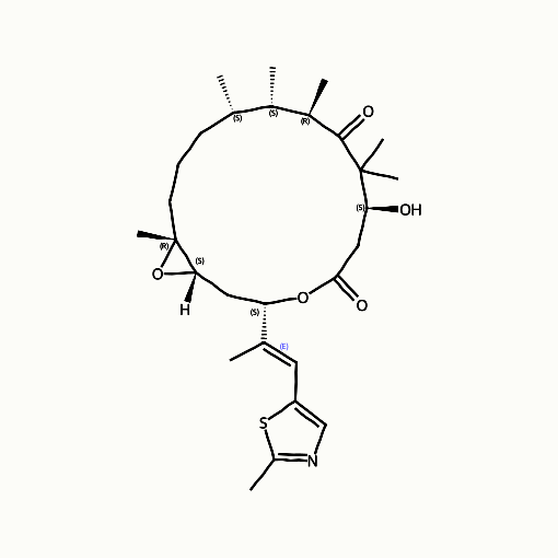 C/C(=C\c1cnc(C)s1)[C@@H]1C[C@@H]2O[C@]2(C)CCC[C@H](C)[C@H](C)[C@@H](C)C(=O)C(C)(C)[C@@H](O)CC(=O)O1